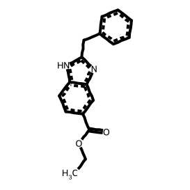 CCOC(=O)c1ccc2[nH]c(Cc3ccccc3)nc2c1